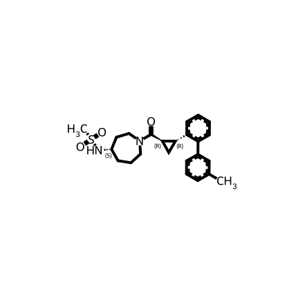 Cc1cccc(-c2ccccc2[C@@H]2C[C@H]2C(=O)N2CCC[C@H](NS(C)(=O)=O)CC2)c1